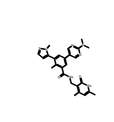 Cc1cc(C)c(CNC(=O)c2cc(-c3cnc(N(C)C)nc3)cc(-c3ccnn3C)c2C)c(=O)[nH]1